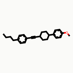 CCCCc1ccc(C#CC2CCC(c3ccc(OC)cc3)CC2)cc1